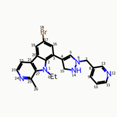 CCn1c2c(C3=CN(Cc4cccnc4)NC3)cc(Br)cc2c2ccnc(C)c21